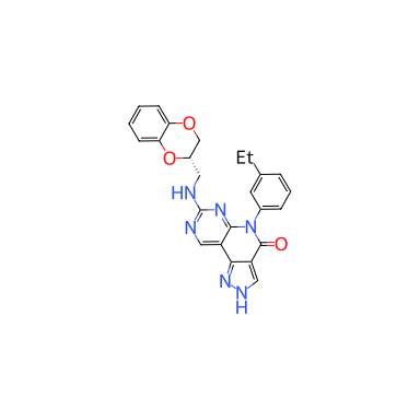 CCc1cccc(-n2c(=O)c3c[nH]nc3c3cnc(NC[C@H]4COc5ccccc5O4)nc32)c1